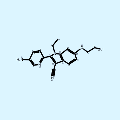 CCn1c(-c2ccc(N)cn2)c(C#N)c2ccc(OCCCl)cc21